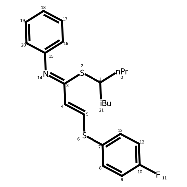 CCCC(SC(C=CSc1ccc(F)cc1)=Nc1ccccc1)C(C)CC